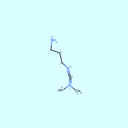 CCC[N+](C)=C=NCCCN